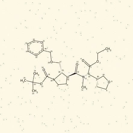 CCOC(=O)[C@H]([C@H]1CCOC1)N(C)C(=O)[C@H]1CCN(C(=O)OC(C)(C)C)[C@@H]1COCc1ccccc1